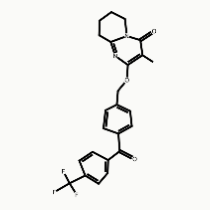 Cc1c(OCc2ccc(C(=O)c3ccc(C(F)(F)F)cc3)cc2)nc2n(c1=O)CCCC2